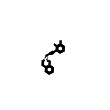 Cc1cccc(C#CCN2CCc3ccccc3C2)c1C